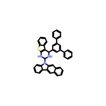 c1ccc(-c2cc(-c3ccccc3)cc(C3NC(n4c5ccccc5c5cc6ccccc6cc54)Nc4sc5ccccc5c43)c2)cc1